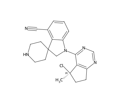 C[C@@]1(Cl)CCc2ncnc(N3CC4(CCNCC4)c4c(C#N)cccc43)c21